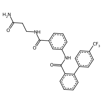 NC(=O)CCNC(=O)c1cccc(NC(=O)c2ccccc2-c2ccc(C(F)(F)F)cc2)c1